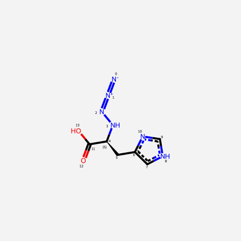 [N-]=[N+]=NN[C@@H](Cc1c[nH]cn1)C(=O)O